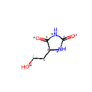 O=C1NC(=O)C(CCO)N1